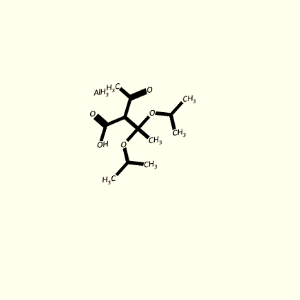 CC(=O)C(C(=O)O)C(C)(OC(C)C)OC(C)C.[AlH3]